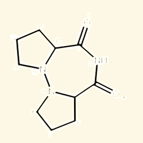 O=C1NC(=O)C2CCCN2N2CCCC12